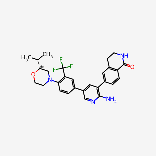 CC(C)[C@@H]1CN(c2ccc(-c3cnc(N)c(-c4ccc5c(c4)CCNC5=O)c3)cc2C(F)(F)F)CCO1